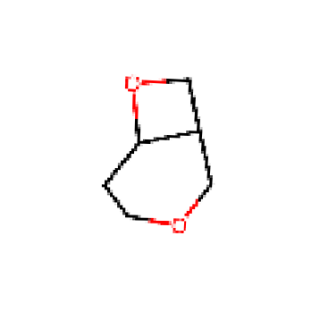 C1CC2OCC2CO1